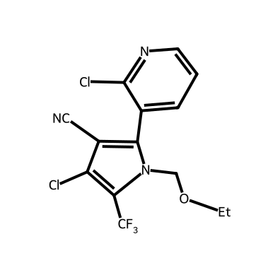 CCOCn1c(-c2cccnc2Cl)c(C#N)c(Cl)c1C(F)(F)F